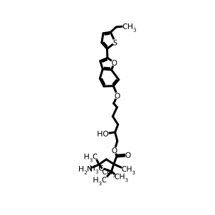 CCc1ccc(-c2cc3ccc(OCCCCC(O)COC(=O)C(C)(CC(C)(C)N)C(C)(C)C)cc3o2)s1